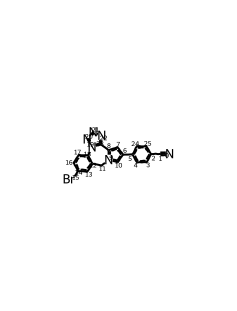 N#Cc1ccc(-c2cc3n(c2)Cc2cc(Br)ccc2-n2nnnc2-3)cc1